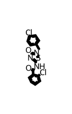 O=C(Nc1nc(=O)n(Cc2ccc(Cl)cc2)s1)c1ccccc1Cl